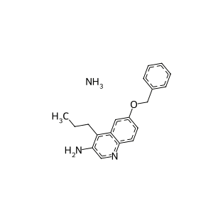 CCCc1c(N)cnc2ccc(OCc3ccccc3)cc12.N